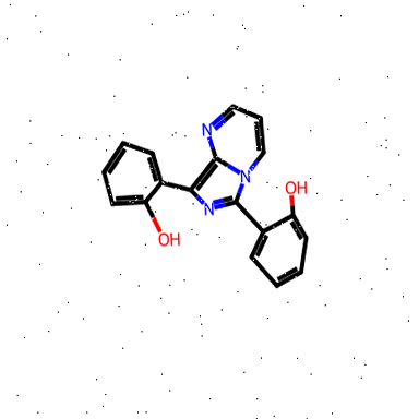 Oc1ccccc1-c1nc(-c2ccccc2O)n2cccnc12